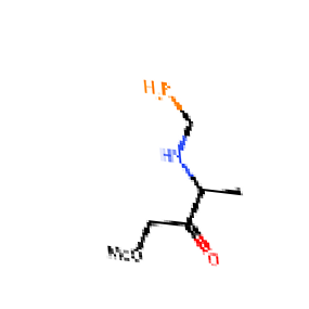 COCC(=O)[C@H](C)NCP